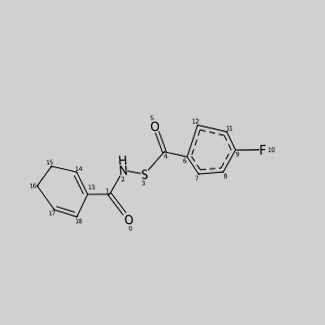 O=C(NSC(=O)c1ccc(F)cc1)C1=CCCC=C1